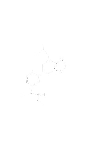 CCNC(C)c1cccc(-c2cc(OC(F)F)c3nccn3c2)c1